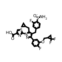 N[S+]([O-])c1ccc(Cc2c(-c3ccc(F)c(OCC4CC4(F)F)c3)nn(-c3nc(C(=O)O)cs3)c2CC2CC2)cc1F